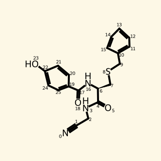 N#CCNC(=O)[C@H](CSCc1ccccc1)NC(=O)c1ccc(O)cc1